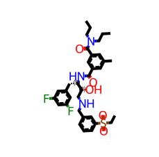 CCCN(CCC)C(=O)c1cc(C)cc(C(=O)N[C@@H](Cc2cc(F)cc(F)c2)[C@H](O)CNCc2cccc(S(=O)(=O)CC)c2)c1